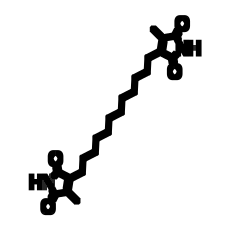 CC1=C(CCCCCCCCCCCCC2=C(C)C(=O)NC2=O)C(=O)NC1=O